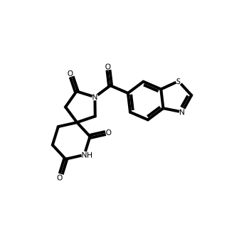 O=C1CCC2(CC(=O)N(C(=O)c3ccc4ncsc4c3)C2)C(=O)N1